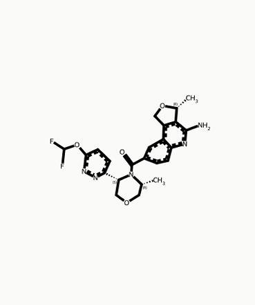 C[C@@H]1COC[C@H](c2ccc(OC(F)F)nn2)N1C(=O)c1ccc2nc(N)c3c(c2c1)CO[C@@H]3C